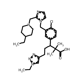 CCC1CCN(Cc2nccn2Cc2cc(C(CCc3cn(CC)nn3)C(C)(C)C(=O)O)ccc2Cl)CC1